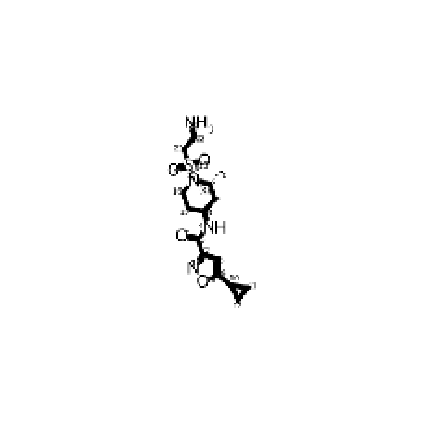 C[C@@H]1CC(NC(=O)c2cc(C3CC3)on2)CCN1S(=O)(=O)CCN